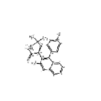 Cc1nc2ccccc2c(-c2ccc(Cl)cc2)c1[C@H](OC(C)(C)C)C(=O)O